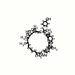 CO[C@H]1C[C@@H]2CC[C@@H](C)[C@@](O)(O2)C(=O)C(=O)N2CCCC[C@H]2C(=O)O[C@H]([C@H](C)C[C@H]2CC[C@H](O)CC2)C/C=C(\C)[C@@H](O)[C@@H](O)C(=O)[C@H](C)C[C@H](C)/C=C/C=C/C=C/1C